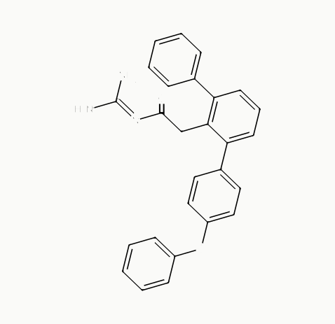 NC(N)=NC(=O)Cc1c(-c2ccccc2)cccc1-c1ccc(Oc2ccccc2)cc1